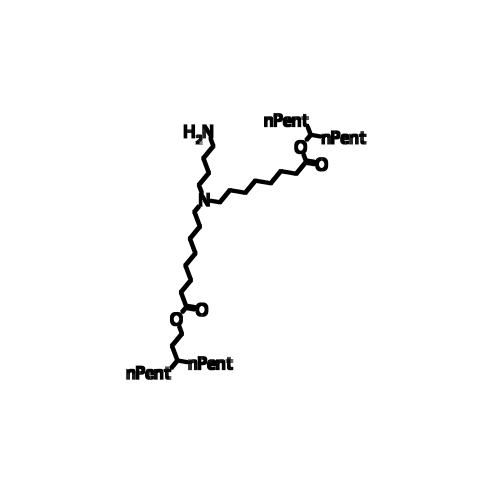 CCCCCC(CCCCC)CCOC(=O)CCCCCCCN(CCCCN)CCCCCCCC(=O)OC(CCCCC)CCCCC